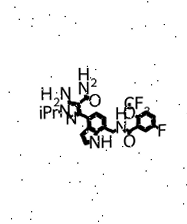 CC(C)n1nc(-c2ccc(CNC(=O)c3cc(F)ccc3OC(F)(F)F)c3[nH]ccc23)c(C(N)=O)c1N